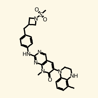 Cc1cccc2c1NCCN2c1cc2cnc(Nc3ccc(CC4CN(S(C)(=O)=O)C4)cc3)nc2n(C)c1=O